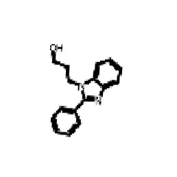 OCCCn1c(-c2ccccc2)nc2ccccc21